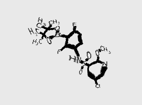 COc1ncc(Cl)cc1S(=O)(=O)Nc1ccc(F)c(B2OC(C)(C)C(C)(C)O2)c1F